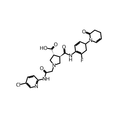 O=C(CN1C[C@H](C(=O)O)[C@@H](C(=O)NC2=C(F)CC(N3C=CCCC3=O)C=C2)C1)Nc1ccc(Cl)cn1